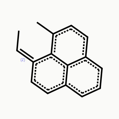 C/C=c1/ccc2cccc3ccc(C)c1c32